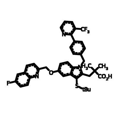 CC(C)(C)Sc1c(CC(C)(C)C(=O)O)n(Cc2ccc(-c3ncccc3C(F)(F)F)cc2)c2ccc(OCc3ccc4cc(F)ccc4n3)cc12